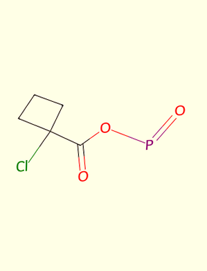 O=POC(=O)C1(Cl)CCC1